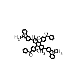 Cc1cc(C(=O)c2ccccc2)ccc1-c1c2ccc(-c3ccc4c(c3)c3ccccc3n4C)cc2c(-c2ccc(C(=O)c3ccccc3)cc2C)c2ccc(-c3ccc4c(c3)c3ccccc3n4C)cc12